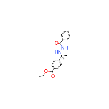 CCOC(=O)c1ccc([C@H](C)NNC(=O)c2ccccc2)cc1